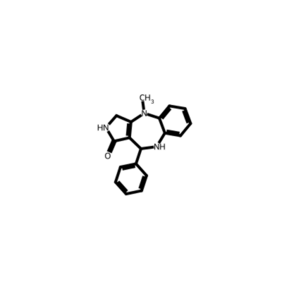 CN1C2=C(C(=O)NC2)C(c2ccccc2)Nc2ccccc21